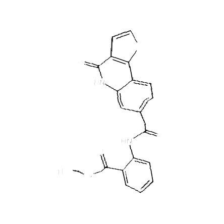 COC(=O)c1ccccc1NC(=O)c1ccc2c(c1)[nH]c(=O)c1ccsc12